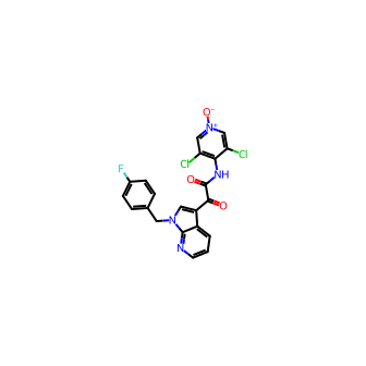 O=C(Nc1c(Cl)c[n+]([O-])cc1Cl)C(=O)c1cn(Cc2ccc(F)cc2)c2ncccc12